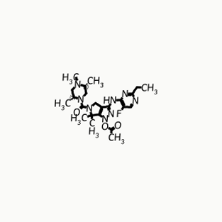 CCc1ncc(F)c(Nc2nn(OC(C)=O)c3c2CN(C(=O)N2C[C@@H](C)N(C)C[C@@H]2C)C3(C)C)n1